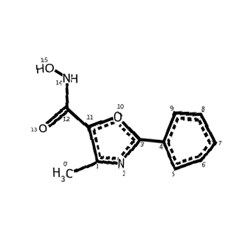 Cc1nc(-c2ccccc2)oc1C(=O)NO